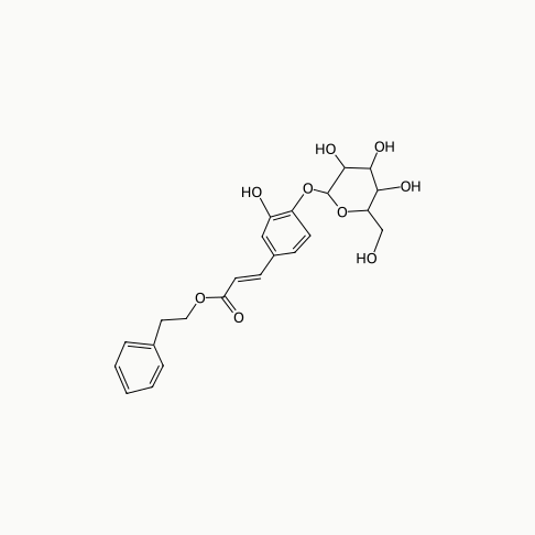 O=C(/C=C/c1ccc(OC2OC(CO)C(O)C(O)C2O)c(O)c1)OCCc1ccccc1